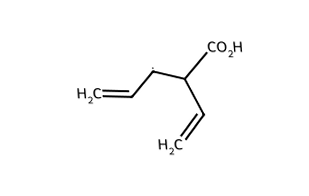 C=C[CH]C(C=C)C(=O)O